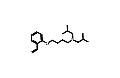 C=Cc1ccccc1OCCCCN(CC(C)C)CC(C)C